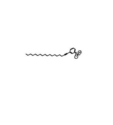 CCCCCCCCCCCCCCCCC#Cc1cccc([N+](=O)[O-])c1